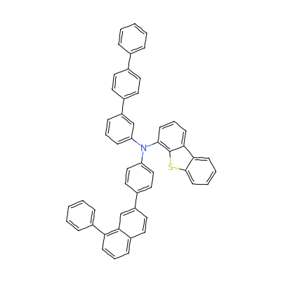 c1ccc(-c2ccc(-c3cccc(N(c4ccc(-c5ccc6cccc(-c7ccccc7)c6c5)cc4)c4cccc5c4sc4ccccc45)c3)cc2)cc1